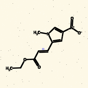 CCOC(=O)/C=C/c1cc([N+](=O)[O-])cn1C